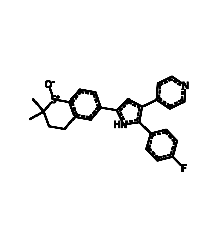 CC1(C)CCc2cc(-c3cc(-c4ccncc4)c(-c4ccc(F)cc4)[nH]3)ccc2[S+]1[O-]